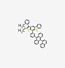 C=Cc1sc2c(-c3cccc(-c4c5ccccc5c(-c5cccc6ccccc56)c5ccccc45)c3)c3sc4ccccc4c3cc2c1-c1ccccc1C